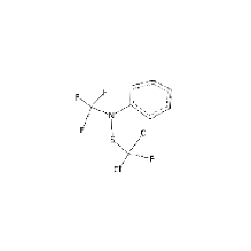 FC(Cl)(Cl)SN(c1c[c]ccc1)C(F)(F)F